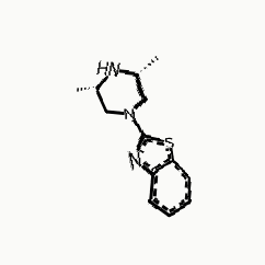 C[C@@H]1CN(c2nc3ccccc3s2)C[C@H](C)N1